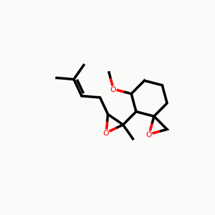 COC1[CH]CCC2(CO2)C1C1(C)OC1CC=C(C)C